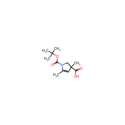 CC1=CC(C)(C(=O)O)CN1C(=O)OC(C)(C)C